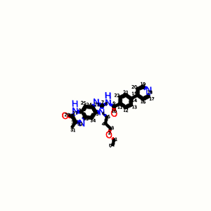 CCOCCCn1c(NC(=O)c2ccc(-c3ccncc3)cc2)nc2cc3[nH]c(=O)c(C)nc3cc21